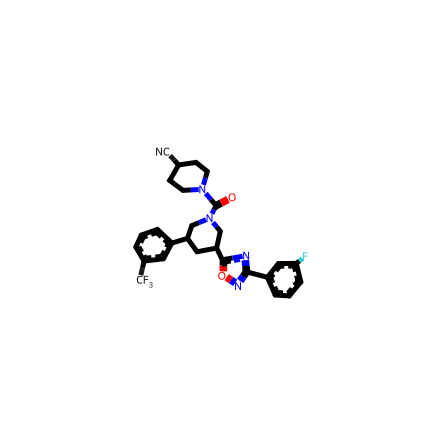 N#CC1CCN(C(=O)N2CC(c3cccc(C(F)(F)F)c3)CC(c3nc(-c4cccc(F)c4)no3)C2)CC1